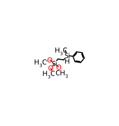 CO[Si](CC[SiH](C)c1ccccc1)(OC)OC